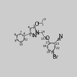 CCOc1cc(-c2ccccc2)nn1CCOc1ccc(Br)cc1C#N